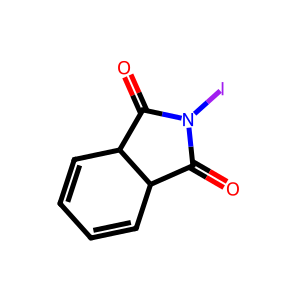 O=C1C2C=CC=CC2C(=O)N1I